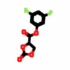 O=C1OCC(C(=O)Oc2cc(F)cc(F)c2)O1